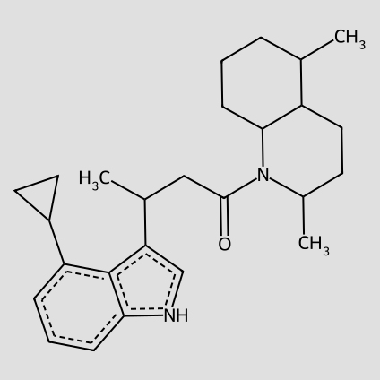 CC(CC(=O)N1C(C)CCC2C(C)CCCC21)c1c[nH]c2cccc(C3CC3)c12